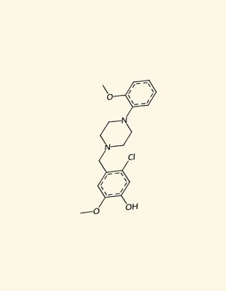 COc1cc(CN2CCN(c3ccccc3OC)CC2)c(Cl)cc1O